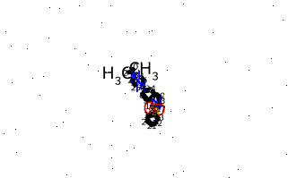 CC(C)N1CCN(c2ccc3c(ccn3S(=O)(=O)c3ccccc3)c2)CC1